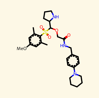 COc1cc(C)c(S(=O)(=O)C(OCC(=O)NCc2ccc(N3CCCCC3)cc2)C2CCCN2)c(C)c1